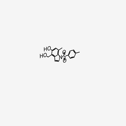 Cc1ccc(S(=O)(=O)n2ccc3c(CO)c(O)cc(C)c32)cc1